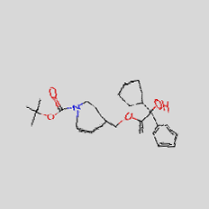 C=C(OCC1CCN(C(=O)OC(C)(C)C)CC1)C(O)(c1ccccc1)C1CCCCC1